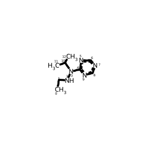 CCNN(c1ncncn1)C(C)C